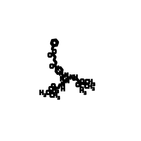 CC(C)(C)OC(=O)CCNc1nc(NCCC(=O)OC(C)(C)C)nc(N2CCN(C(=O)CCCC(=O)OCc3ccccc3)CC2)n1